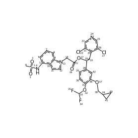 CS(=O)(=O)Nc1cccc2c1ccn2CC(=O)O[C@@H](Cc1c(Cl)cncc1Cl)c1ccc(OC(F)F)c(OCC2CC2)c1